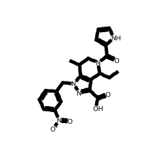 CCC1c2c(C(=O)O)nn(Cc3cccc([N+](=O)[O-])c3)c2C(C)CN1C(=O)c1ccc[nH]1